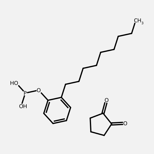 CCCCCCCCCc1ccccc1OP(O)O.O=C1CCCC1=O